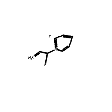 C=CC(F)[n+]1ccccc1.[I-]